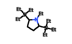 CCN1C([Si](CC)(CC)CC)CCC1[Si](CC)(CC)CC